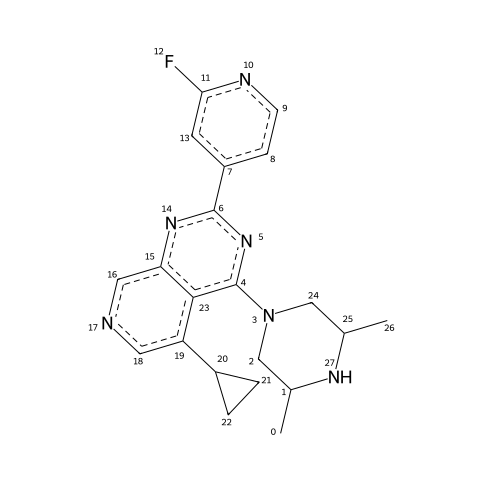 CC1CN(c2nc(-c3ccnc(F)c3)nc3cncc(C4CC4)c23)CC(C)N1